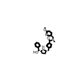 COc1ccc(CN(C)C(=O)c2ccc(C[C@@H]3CC[C@H](C(O)c4ccccc4)N3)cc2)cn1